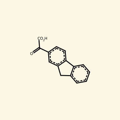 O=C(O)C(=O)c1ccc2c(c1)Cc1ccccc1-2